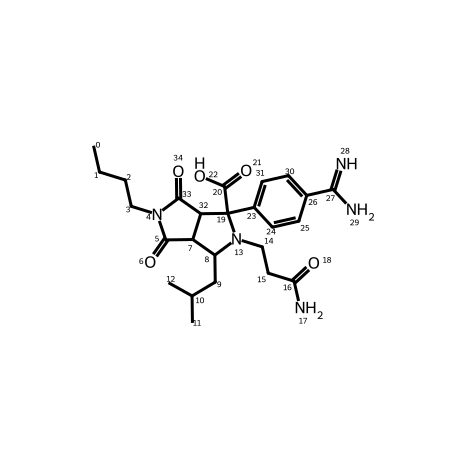 CCCCN1C(=O)C2C(CC(C)C)N(CCC(N)=O)C(C(=O)O)(c3ccc(C(=N)N)cc3)C2C1=O